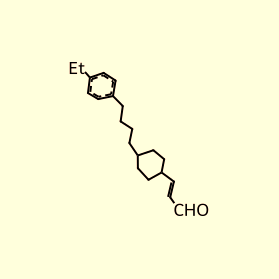 CCc1ccc(CCCCC2CCC(C=CC=O)CC2)cc1